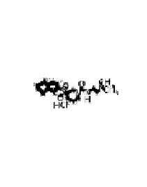 CN(C)CCNC(=O)N1CCCC(S(=O)(=O)c2ccc3ccccc3c2)C1.Cl